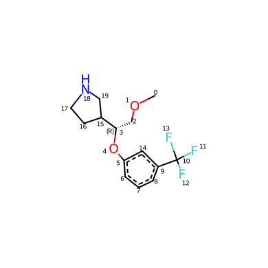 COC[C@H](Oc1cccc(C(F)(F)F)c1)C1CCNC1